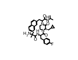 CC(C)NC(=O)C(Cc1ccc2ccccc2c1)N1CCN(C(=O)C(Cc2ccc(F)cc2)NC(=O)C(C)(C)N)[C@H](CC2CC2)C1=O